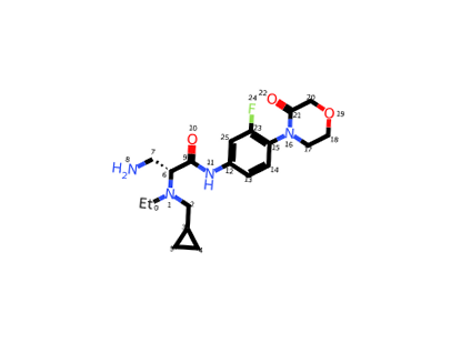 CCN(CC1CC1)[C@H](CN)C(=O)Nc1ccc(N2CCOCC2=O)c(F)c1